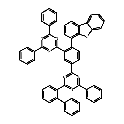 c1ccc(-c2nc(-c3ccc(-c4cccc5c4oc4ccccc45)c(-c4nc(-c5ccccc5)nc(-c5ccccc5)n4)c3)nc(-c3ccccc3-c3ccccc3)n2)cc1